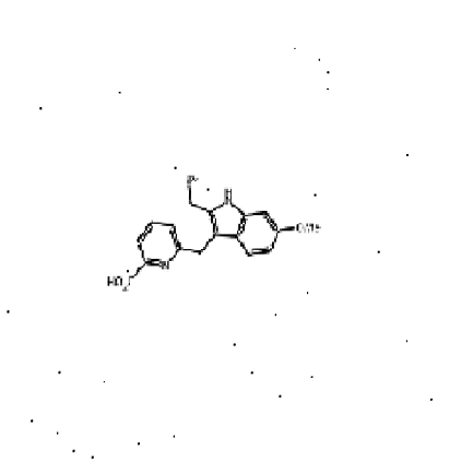 COc1ccc2c(Cc3cccc(C(=O)O)n3)c(CC(C)C)[nH]c2c1